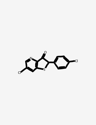 O=C1c2ncc(Cl)cc2SC1c1ccc(Cl)cc1